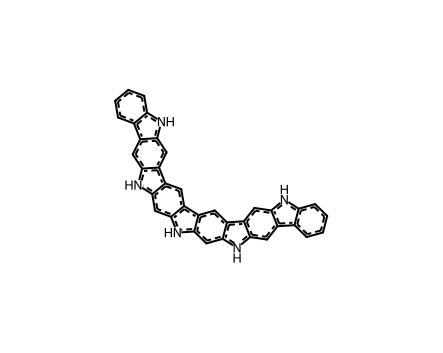 c1ccc2c(c1)[nH]c1cc3c(cc12)[nH]c1cc2[nH]c4cc5[nH]c6cc7c(cc6c5cc4c2cc13)[nH]c1ccccc17